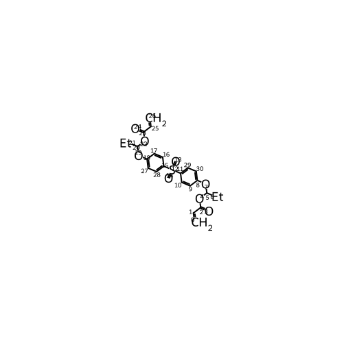 C=CC(=O)OC(CC)Oc1ccc(S(=O)(=O)c2ccc(OC(CC)OC(=O)C=C)cc2)cc1